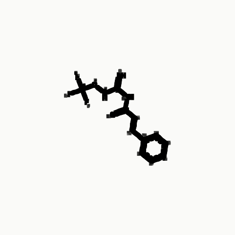 N=C(NOC(F)(F)F)NC(=O)/C=C/c1ccccc1